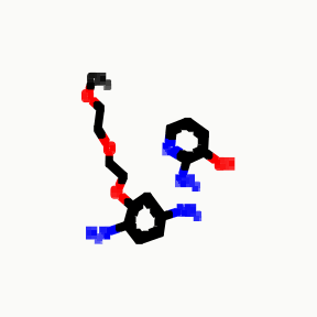 COCCOCCOc1cc(N)ccc1N.Nc1ncccc1O